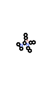 c1ccc2cc(N3c4cc5ccccc5cc4B4c5cc6ccccc6cc5-c5cc(-n6c7ccccc7c7ccccc76)cc3c54)ccc2c1